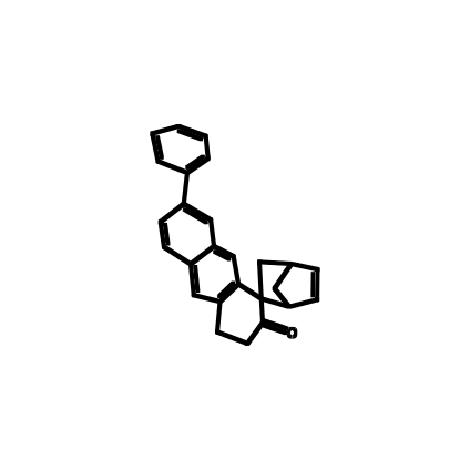 O=C1CCc2cc3ccc(-c4ccccc4)cc3cc2C12CC1C=CC2C1